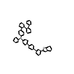 c1ccc(-c2ccccc2-c2ccccc2-c2ccc(N(c3ccccc3)c3ccc(-c4ccc(-c5cccc(-c6cc7ccccc7o6)c5)cc4)cc3)cc2)cc1